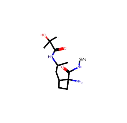 CSNC(=O)C1(N)CCC1CC(C)NC(=O)C(C)(C)O